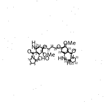 COc1cc(C(=O)N2CCC[C@H]2C=O)c(N)cc1OCCCOc1cc2c(cc1OC)C(=O)N1CCC[C@H]1CN2